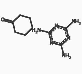 Nc1nc(N)nc(N)n1.O=C1CCCCC1